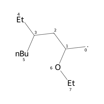 [CH2]C(CC(CC)CCCC)OCC